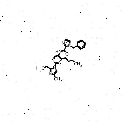 CCCCc1nc(-n2cc(C)nc2CC)ncc1NC(=O)c1nccn1Cc1ccccc1